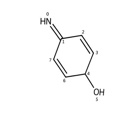 N=C1C=CC(O)C=C1